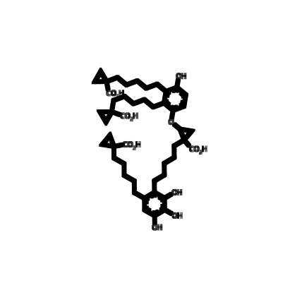 O=C(O)C1(CCCCCc2cc(O)c(O)c(O)c2CCCCCC2(C(=O)O)CC2Oc2ccc(O)c(CCCCCC3(C(=O)O)CC3)c2CCCCCC2(C(=O)O)CC2)CC1